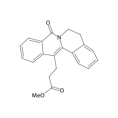 COC(=O)CCc1c2n(c(=O)c3ccccc13)CCc1ccccc1-2